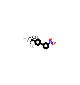 CC(C)(C)c1ccc(-c2cccc([N+](=O)[O-])c2)cc1